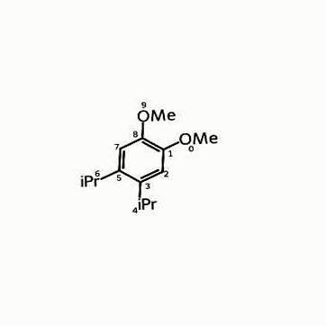 COc1cc(C(C)C)c(C(C)C)cc1OC